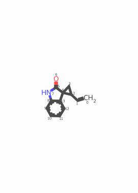 C=CC1CC12C(=O)Nc1ccccc12